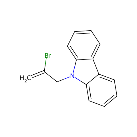 C=C(Br)Cn1c2ccccc2c2ccccc21